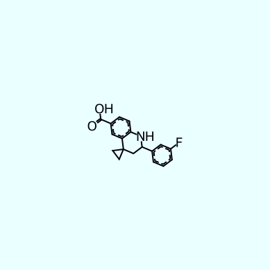 O=C(O)c1ccc2c(c1)C1(CC1)CC(c1cccc(F)c1)N2